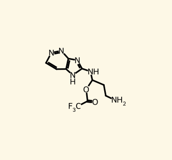 NCCC(Nc1nc2nnccc2[nH]1)OC(=O)C(F)(F)F